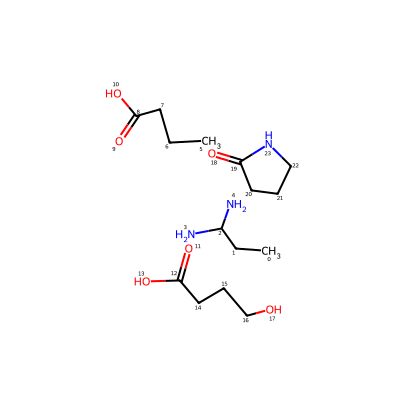 CCC(N)N.CCCC(=O)O.O=C(O)CCCO.O=C1CCCN1